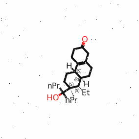 CCCC(O)(CCC)[C@@]1(C)CC[C@@H]2C3=C(CC[C@H]2[C@@H]1CC)CC(=O)CC3